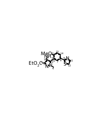 CCOC(=O)c1nn(C)c(-c2cc(-c3nccs3)ccc2OC)c1N